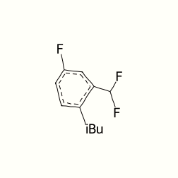 CCC(C)c1ccc(F)cc1C(F)F